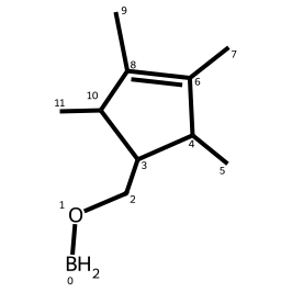 BOCC1C(C)C(C)=C(C)C1C